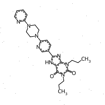 CCCn1c(=O)c2[nH]c(-c3ccc(N4CCN(c5ccccn5)CC4)nc3)nc2n(CCC)c1=O